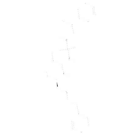 CC(C)C(C(=O)[C@@H](NC(=O)OCc1ccccc1)C(C)C)C(=O)C(F)(F)C(=O)CC(N)c1ccccc1